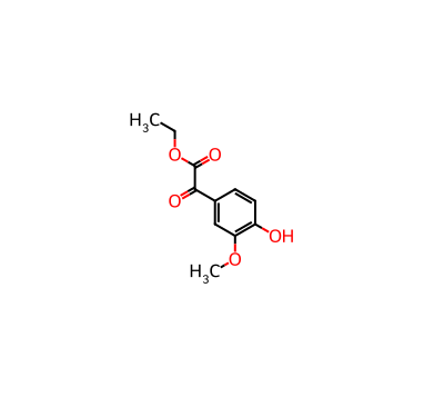 CCOC(=O)C(=O)c1ccc(O)c(OC)c1